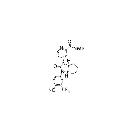 CNC(=O)c1cc(N2C(=O)N(c3ccc(C#N)c(C(F)(F)F)c3)[C@H]3CCCC[C@@H]32)ccn1